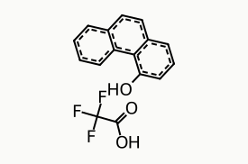 O=C(O)C(F)(F)F.Oc1cccc2ccc3ccccc3c12